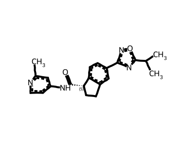 Cc1cc(NC(=O)[C@H]2CCc3cc(-c4noc(C(C)C)n4)ccc32)ccn1